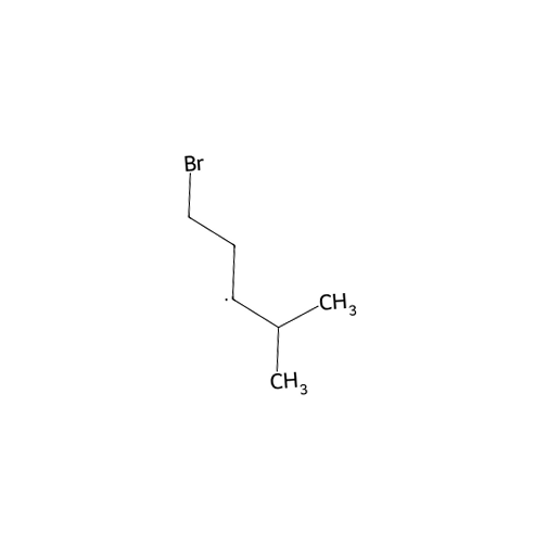 CC(C)[CH]CCBr